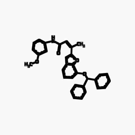 COc1cccc(NC(=O)/C=C(/C)c2cc3cccc(OC(c4ccccc4)c4ccccc4)c3o2)c1